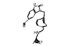 CC(=O)NCc1ccc(Cn2c(=O)[nH]c3ccc(C#N)cc32)cc1